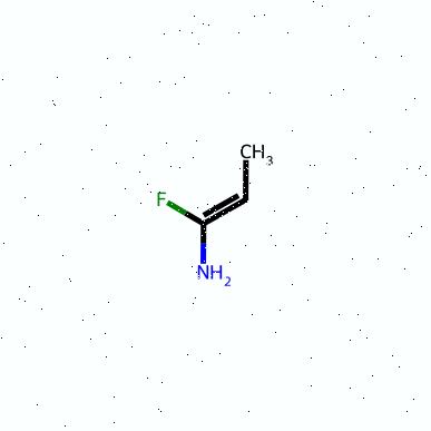 C/C=C(/N)F